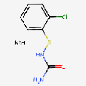 NC(=O)NSc1ccccc1Cl.[NaH]